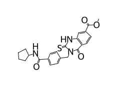 COC(=O)c1ccc2c(=O)n(Cc3ccc(C(=O)NC4CCCC4)cc3)c(=S)[nH]c2c1